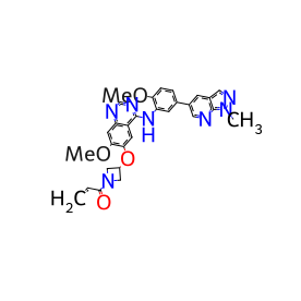 C=CC(=O)N1CC(Oc2cc3c(Nc4cc(-c5cnc6c(cnn6C)c5)ccc4OC)ncnc3cc2OC)C1